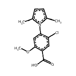 COc1cc(-n2c(C)ccc2C)c(Cl)cc1C(=O)O